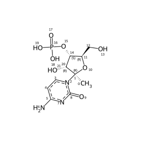 C[C@@]1(n2ccc(N)nc2=O)O[C@H](CO)[C@@H](OP(=O)(O)O)[C@H]1O